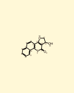 O=c1sc2c(ccc3ccccc32)c2c1C(O)CO2